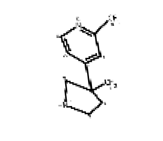 FC(F)(F)c1cc(C2(C(F)(F)F)CCNC2)ccn1